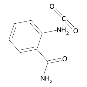 NC(=O)c1ccccc1N.O=C=O